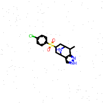 CC1c2n[nH]cc2C2CC(S(=O)(=O)c3ccc(Cl)cc3)CC1N2